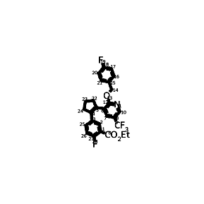 CCOC(=O)c1cc(C2=C(c3cc(C(F)(F)F)cnc3OCc3ccc(F)cc3)CCC2)ccc1F